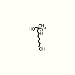 CC(O)(CO)CCCCCCCO